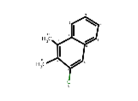 Cc1c(Cl)cc2ccccc2c1C